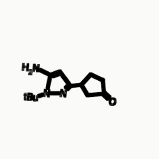 CC(C)(C)n1nc(C2CCC(=O)C2)cc1N